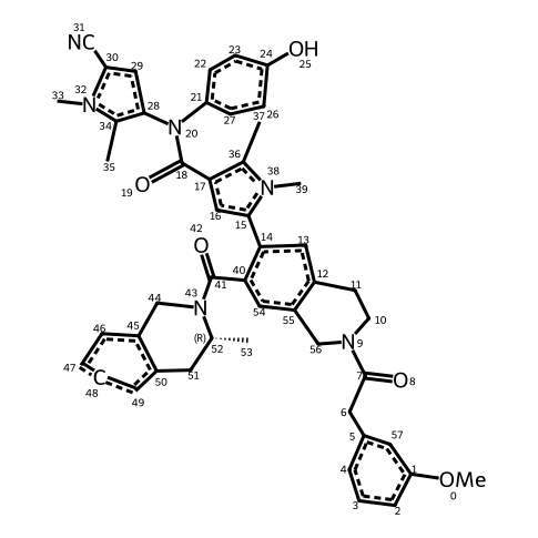 COc1cccc(CC(=O)N2CCc3cc(-c4cc(C(=O)N(c5ccc(O)cc5)c5cc(C#N)n(C)c5C)c(C)n4C)c(C(=O)N4Cc5ccccc5C[C@H]4C)cc3C2)c1